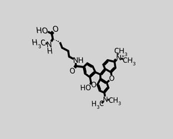 CN[C@@H](CCCCNC(=O)c1ccc(-c2c3ccc(=[N+](C)C)cc-3oc3cc(N(C)C)ccc23)c(C(=O)O)c1)C(=O)O